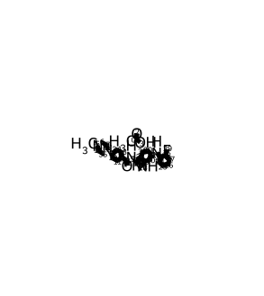 CC(=O)O.CN1CCN(c2ccc(C(=O)Nc3n[nH]c4cc(Nc5ccccc5F)ccc34)cc2)CC1